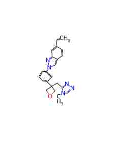 C=Cc1ccc2cn(-c3cccc(C4(Cc5nncn5C)COC4)c3)nc2c1